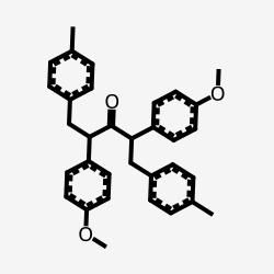 COc1ccc(C(Cc2ccc(C)cc2)C(=O)C(Cc2ccc(C)cc2)c2ccc(OC)cc2)cc1